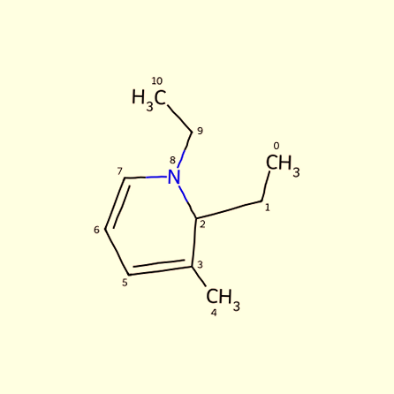 CCC1C(C)=CC=CN1CC